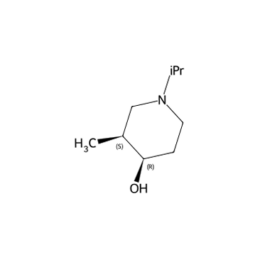 CC(C)N1CC[C@@H](O)[C@@H](C)C1